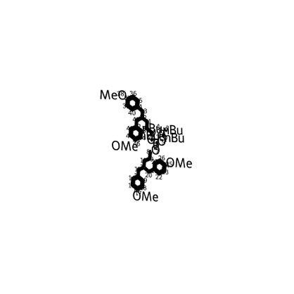 CCCCP(CCCC)(CCCC)(CCCC)OB(OCCCC(Cc1ccc(OC)cc1)Cc1ccc(OC)cc1)OCCCC(Cc1ccc(OC)cc1)Cc1ccc(OC)cc1